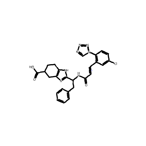 O=C(/C=C/c1cc(Cl)ccc1-n1cnnn1)NC(Cc1ccccc1)c1nc2c([nH]1)CCC(C(=O)O)C2